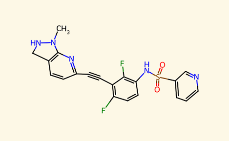 CN1NCc2ccc(C#Cc3c(F)ccc(NS(=O)(=O)c4cccnc4)c3F)nc21